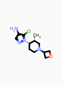 C[C@@H]1CN(C2COC2)CC[C@@H]1n1ncc(N)c1Cl